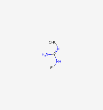 CC(C)N/C(N)=N/C=O